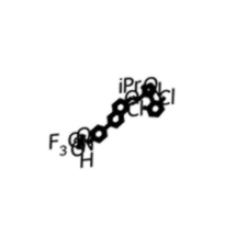 CC(C)c1onc(-c2c(Cl)cccc2Cl)c1COc1ccc2cc(-c3ccc(NS(=O)(=O)C(F)(F)F)cc3)ccc2c1